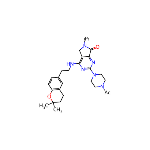 CC(=O)N1CCN(c2nc(NCCc3ccc4c(c3)CCC(C)(C)O4)c3c(n2)C(=O)N(C(C)C)C3)CC1